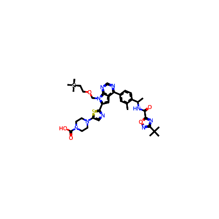 Cc1cc(-c2ncnc3c2cc(-c2ncc(N4CCN(C(=O)O)CC4)s2)n3COCC[Si](C)(C)C)ccc1C(C)NC(=O)c1nc(C(C)(C)C)no1